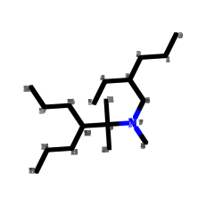 CCCC(CC)CN(C)C(C)(C)C(CCC)CCC